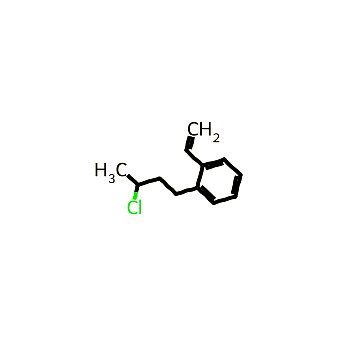 C=Cc1ccccc1CCC(C)Cl